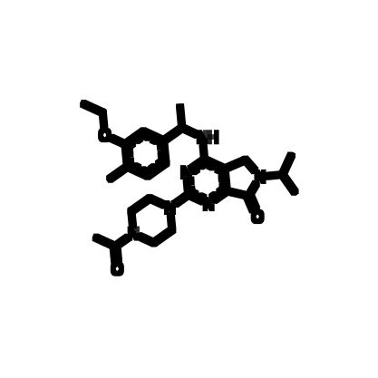 CCOc1cc(C(C)Nc2nc(N3CCN(C(C)=O)CC3)nc3c2CN(C(C)C)C3=O)ccc1C